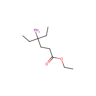 CCOC(=O)CCC(P)(CC)CC